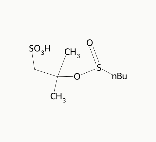 CCCCS(=O)OC(C)(C)CS(=O)(=O)O